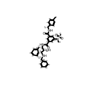 Cc1ccc([C@@H](C)NC(=O)c2cc(C(=O)N[C@@H](Cc3ccccc3)[C@H](O)CN[C@@H](C)c3ccccc3)cc(N(C)S(C)(=O)=O)c2)cc1